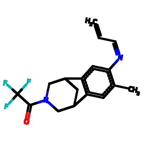 C=C/C=N\c1cc2c(cc1C)C1CC2CN(C(=O)C(F)(F)F)C1